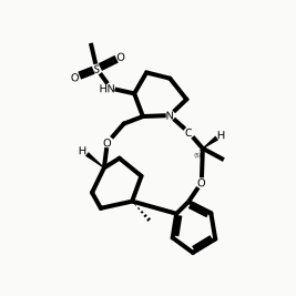 C[C@H]1CN2CCCC(NS(C)(=O)=O)C2CO[C@H]2CC[C@@](C)(CC2)c2ccccc2O1